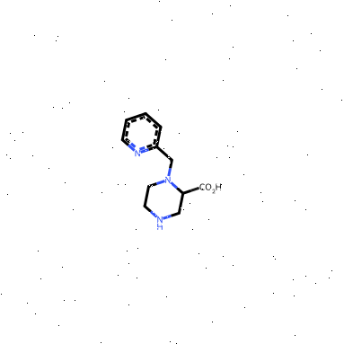 O=C(O)C1CNCCN1Cc1ccccn1